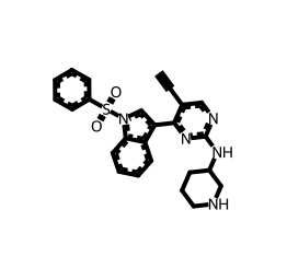 C#Cc1cnc(NC2CCCNC2)nc1-c1cn(S(=O)(=O)c2ccccc2)c2ccccc12